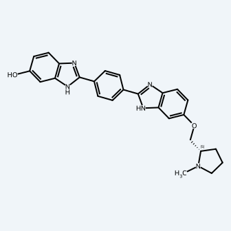 CN1CCC[C@H]1COc1ccc2nc(-c3ccc(-c4nc5ccc(O)cc5[nH]4)cc3)[nH]c2c1